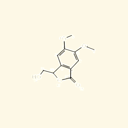 COc1cc2c(cc1OC)C(CO)OC2=O